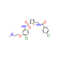 CN(C)CCOc1cc(NS(=O)(=O)c2ccc(CNC(=O)c3ccc(Cl)cc3)s2)ccc1Cl